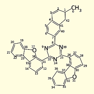 CC1C=Cc2ccc(-c3nc(-c4cccc5c4oc4ccccc45)nc(-c4cccc5oc6ccccc6c45)n3)cc2C1